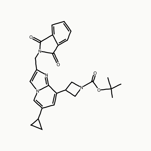 CC(C)(C)OC(=O)N1CC(c2cc(C3CC3)cn3cc(CN4C(=O)c5ccccc5C4=O)nc23)C1